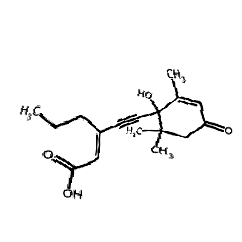 CCCC(C#CC1(O)C(C)=CC(=O)CC1(C)C)=CC(=O)O